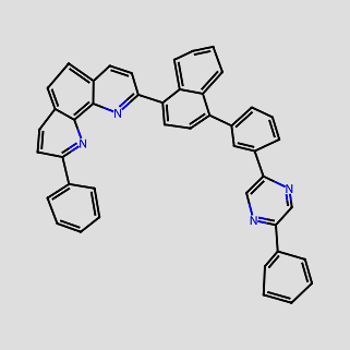 c1ccc(-c2cnc(-c3cccc(-c4ccc(-c5ccc6ccc7ccc(-c8ccccc8)nc7c6n5)c5ccccc45)c3)cn2)cc1